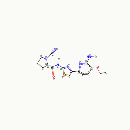 CCOc1ccc(-c2csc(N(C)C(=O)[C@@H]3CCCN3C#N)n2)nc1NC